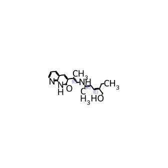 CC/C(=C\C=C(/C)N/C=C(\C)c1cc2cccnc2[nH]c1=O)CO